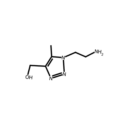 Cc1c(CO)nnn1CCN